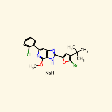 COc1nc(-c2ccccc2Cl)cc2nc(-c3cc(C(C)(C)C)c(Br)o3)[nH]c12.[NaH]